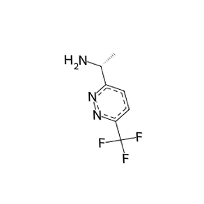 C[C@@H](N)c1ccc(C(F)(F)F)nn1